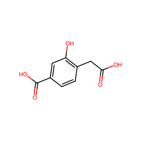 O=C(O)Cc1ccc(C(=O)O)cc1O